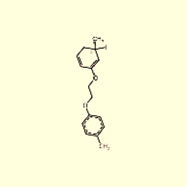 Cc1ccc(OCCOC2=C[C@@](C)(I)CC=C2)cc1